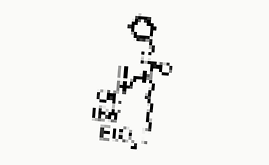 CCOC(=O)CCCCCN(CCNC(=O)OC(C)(C)C)C(=O)OCc1ccccc1